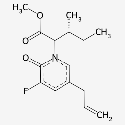 C=CCc1cc(F)c(=O)n(C(C(=O)OC)[C@H](C)CC)c1